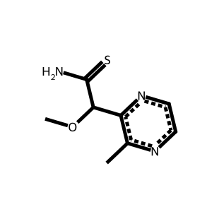 COC(C(N)=S)c1nccnc1C